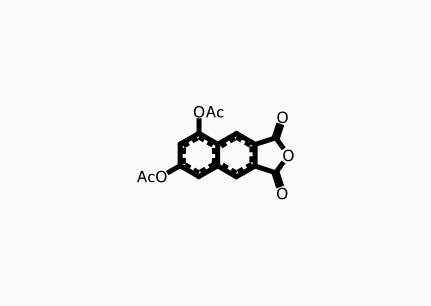 CC(=O)Oc1cc(OC(C)=O)c2cc3c(cc2c1)C(=O)OC3=O